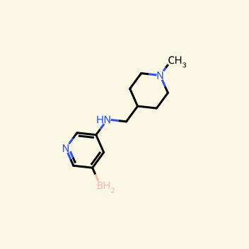 Bc1cncc(NCC2CCN(C)CC2)c1